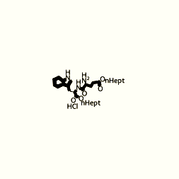 CCCCCCCOC(=O)CC[C@H](N)C(=O)N[C@@H](Cc1c[nH]c2ccccc12)C(=O)OCCCCCCC.Cl